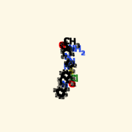 C[C@@H]1OCC2(CCN(c3cnc(Sc4ccc5c(c4Cl)C(=O)N(Cc4ccccc4)CC5)cn3)CC2)[C@@H]1N